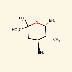 B[C@H]1CC(C)(C(=O)O)O[C@H](B)[C@@H]1C